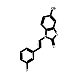 O=c1sc2cc(O)ccc2n1/C=C/c1cccc(F)c1